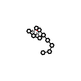 c1ccc(-c2cccc(-c3cccc(-c4ccc(-c5ccc(-c6ccccc6-n6c7ccccc7c7ccc8c9ccccc9n(-c9ccccc9)c8c76)cc5)cc4)c3)c2)cc1